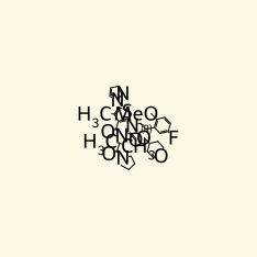 COc1ccc(F)cc1[C@H](Cn1c(=O)n(C(C)(C)C(=O)N2CCCC2)c(=O)c2c(C)c(-n3cccn3)sc21)OC1CCOCC1